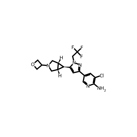 Nc1ncc(-c2cc([C@H]3[C@@H]4CN(C5COC5)C[C@@H]43)n(CC(F)(F)F)n2)cc1Cl